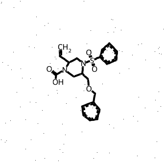 C=CC1CN(S(=O)(=O)c2ccccc2)C(COCc2ccccc2)CN1C(=O)O